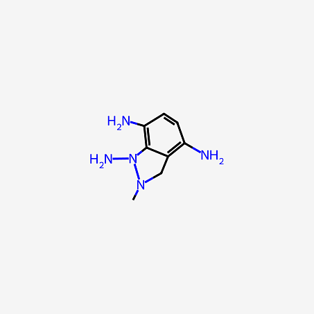 CN1Cc2c(N)ccc(N)c2N1N